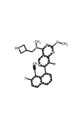 C#Cc1c(F)ccc2cccc(-c3ncc4c(N(C)CC5CNC5)nc(OC)nc4c3F)c12